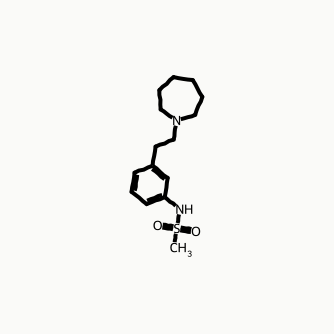 CS(=O)(=O)Nc1cccc(CCN2CCCCCC2)c1